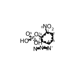 O=[N+]([O-])c1ccccc1OP(=O)(O)O.[N-]=[N+]=[N-]